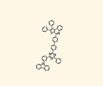 c1ccc(-c2nc(-c3ccc(-c4ccc(-c5nc6ccccc6c6c(-c7ccccc7)c(-c7ccccc7)sc56)cc4)cc3)nc(-c3cccc(-n4c5ccccc5c5ccccc54)c3)n2)cc1